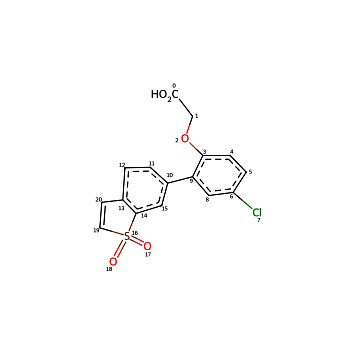 O=C(O)COc1ccc(Cl)cc1-c1ccc2c(c1)S(=O)(=O)C=C2